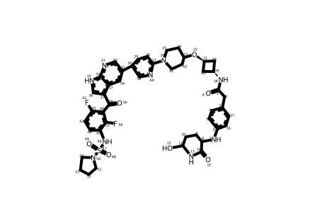 O=C(Cc1ccc(NC2CCC(O)NC2=O)cc1)N[C@H]1C[C@H](OC2CCN(c3ccc(-c4cnc5[nH]cc(C(=O)c6c(F)ccc(NS(=O)(=O)N7CCCC7)c6F)c5c4)cn3)CC2)C1